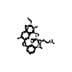 CCc1nc2cc(C)c(Oc3cccc(OC)c3)cc2c(OC(=O)OCCOC)c1C